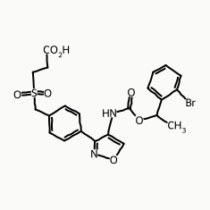 CC(OC(=O)Nc1conc1-c1ccc(CS(=O)(=O)CCC(=O)O)cc1)c1ccccc1Br